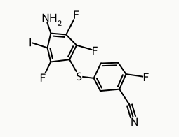 N#Cc1cc(Sc2c(F)c(F)c(N)c(I)c2F)ccc1F